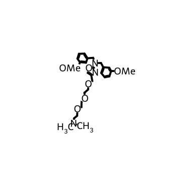 COc1cccc(CN(Cc2cccc(OC)c2)c2nc(COCCOCCOCCN(C)C)co2)c1